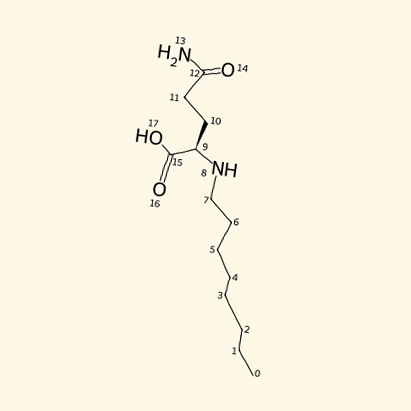 CCCCCCCCN[C@H](CCC(N)=O)C(=O)O